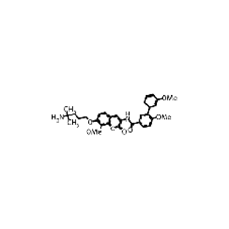 COC1=CC(c2cc(C(=O)Nc3cc4ccc(OCCCC(C)(C)N)c(OC)c4oc3=O)ccc2OC)CC=C1